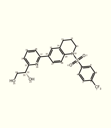 O=S(=O)(c1ccc(C(F)(F)F)cc1)N1CCCc2cc(-c3cccc([C@H](O)CO)n3)ccc21